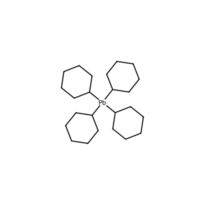 C1CC[CH]([Pb]([CH]2CCCCC2)([CH]2CCCCC2)[CH]2CCCCC2)CC1